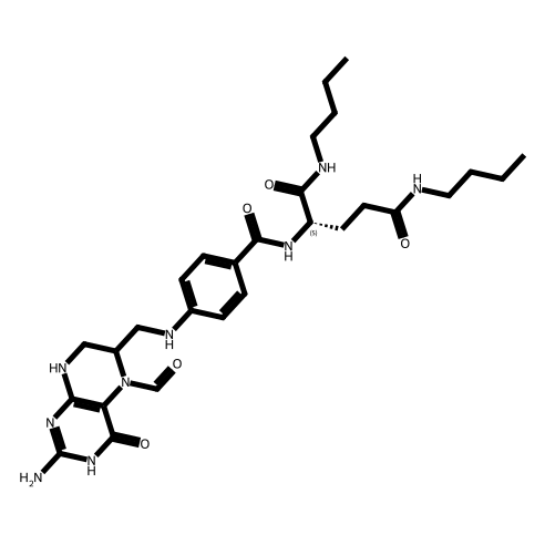 CCCCNC(=O)CC[C@H](NC(=O)c1ccc(NCC2CNc3nc(N)[nH]c(=O)c3N2C=O)cc1)C(=O)NCCCC